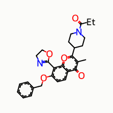 CCC(=O)N1CCC(c2oc3c(C4=NCCO4)c(OCc4ccccc4)ccc3c(=O)c2C)CC1